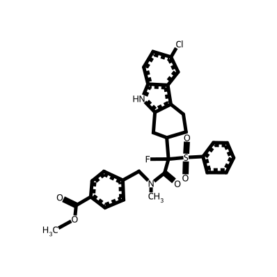 COC(=O)c1ccc(CN(C)C(=O)C(F)(C2CCc3c([nH]c4ccc(Cl)cc34)C2)S(=O)(=O)c2ccccc2)cc1